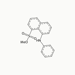 COS(=O)(=O)c1cccc2cccc(Nc3ccccc3)c12